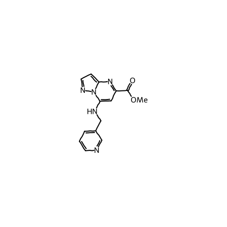 COC(=O)c1cc(NCc2cccnc2)n2nccc2n1